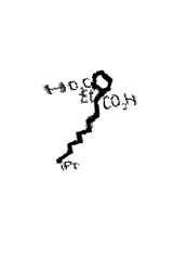 CCC1(C(=O)O)CC=CCC1(CCCCCCCCCC(C)C)C(=O)O